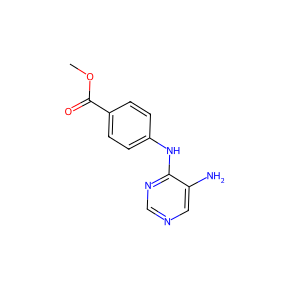 COC(=O)c1ccc(Nc2ncncc2N)cc1